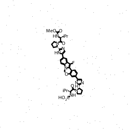 COC(=O)N[C@H](C(=O)N1CCC[C@H]1c1ncc(-c2ccc3c(c2)c(F)c2n3COc3cc(-c4cnc([C@@H]5CCCN5C(=O)[C@@H](NC(=O)O)C(C)C)[nH]4)ccc3-2)[nH]1)C(C)C